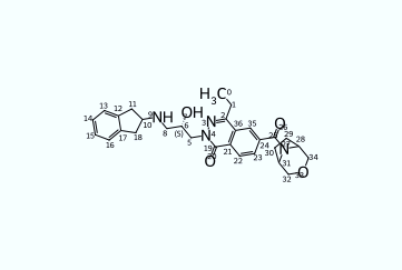 CCc1nn(C[C@@H](O)CNC2Cc3ccccc3C2)c(=O)c2ccc(C(=O)N3C4CCC3COC4)cc12